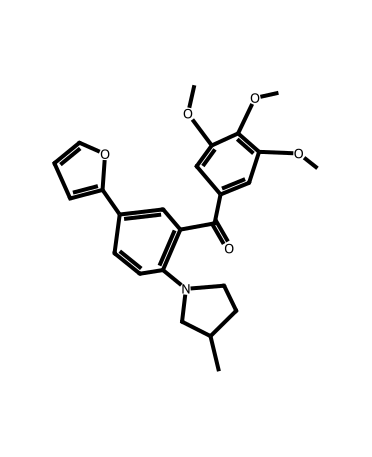 COc1cc(C(=O)c2cc(-c3ccco3)ccc2N2CCC(C)C2)cc(OC)c1OC